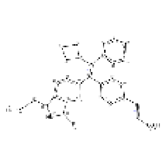 O=C(O)/C=C/c1ccc(/C(=C(\c2ccccc2)C2CCC2)c2ccc3c(c2)C(F)NN3CCO)cc1